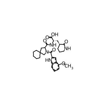 COc1cccc2[nH]c(C(=O)N3CC4(CCCCC4)CC3C(=O)N[C@@H](C[C@@H]3CCCNC3=O)C(=O)O)cc12